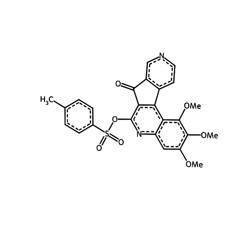 COc1cc2nc(OS(=O)(=O)c3ccc(C)cc3)c3c(c2c(OC)c1OC)-c1ccncc1C3=O